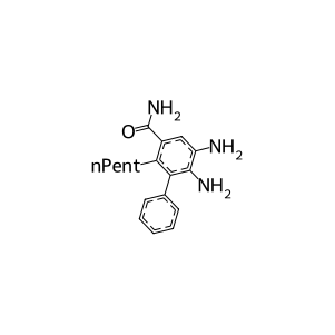 CCCCCc1c(C(N)=O)cc(N)c(N)c1-c1ccccc1